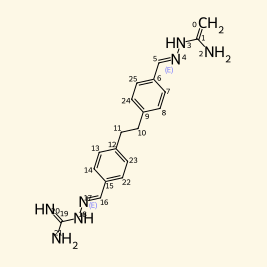 C=C(N)N/N=C/c1ccc(CCc2ccc(/C=N/NC(=N)N)cc2)cc1